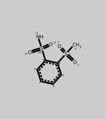 CS(=O)(=O)c1ccccc1S([NH])(=O)=O